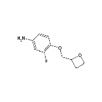 Nc1ccc(OCC2CCO2)c(F)c1